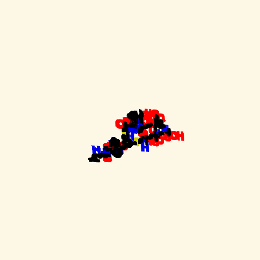 CCCCCC(=O)/N=C/C(CSCc1cc(CSCCNC(=O)CCC(C(=O)O)N2CCN(CC(=O)O)CCN(CC(=O)O)CC2)cc(CSCC(NC(=O)[C@H](Cc2ccccc2)NC(=O)[C@H](CCC(=O)O)NC(=O)[C@@H](C)[C@@H](C)O)C(=O)O)c1)C(=O)N1CCC[C@H]1C(=O)N1CCC[C@H]1C(N)=O